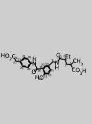 CCC(CC(C)C(=O)O)C(=O)NCc1ccc(O)c(C(=O)Nc2ccc(CC(=O)O)cc2)c1